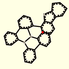 c1ccc2c(c1)B1c3c(cccc3-c3cccc4c3sc3ccccc34)-c3ccccc3N1c1ccccc1-2